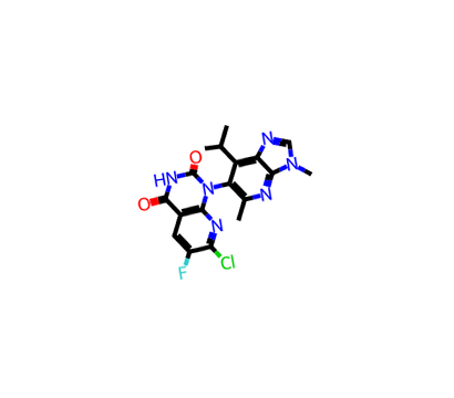 Cc1nc2c(ncn2C)c(C(C)C)c1-n1c(=O)[nH]c(=O)c2cc(F)c(Cl)nc21